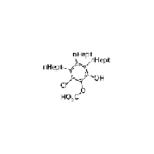 CCCCCCCc1c(O)c(OC(=O)O)c(Cl)c(CCCCCCC)c1CCCCCCC